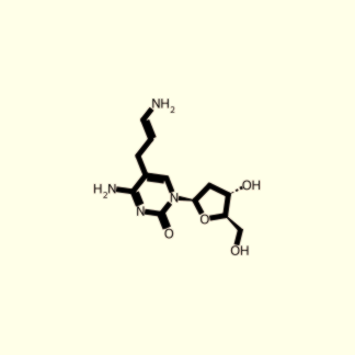 NC=CCc1cn([C@H]2C[C@H](O)[C@@H](CO)O2)c(=O)nc1N